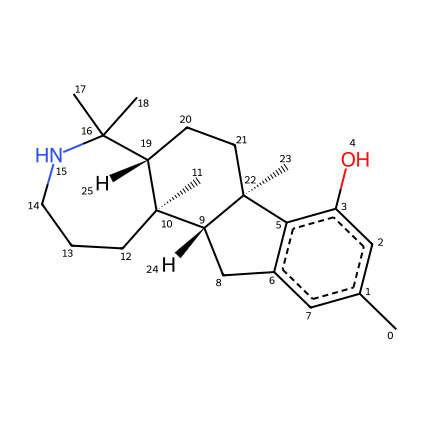 Cc1cc(O)c2c(c1)C[C@@H]1[C@@]3(C)CCCNC(C)(C)[C@@H]3CC[C@@]21C